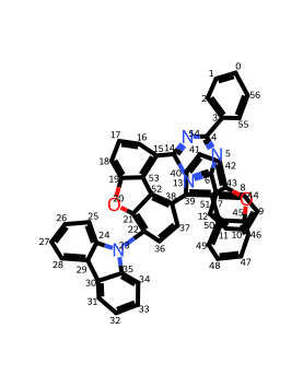 c1ccc(-c2nc(-c3ccccc3)nc(-c3cccc4oc5c(-n6c7ccccc7c7ccccc76)ccc(-c6cccc7oc8ccccc8c67)c5c34)n2)cc1